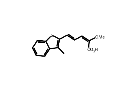 COC(=CC=Cc1sc2ccccc2c1C)C(=O)O